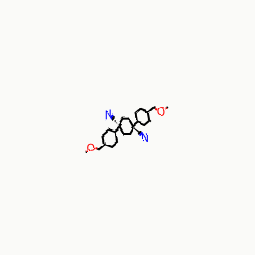 COCC1CCC([C@]2(C#N)CC[C@@](C#N)(C3CCC(COC)CC3)CC2)CC1